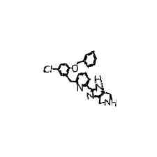 Clc1ccc(OCc2ccccc2)c(Cc2cccc(-c3nc4c([nH]3)C=CNC4)n2)c1